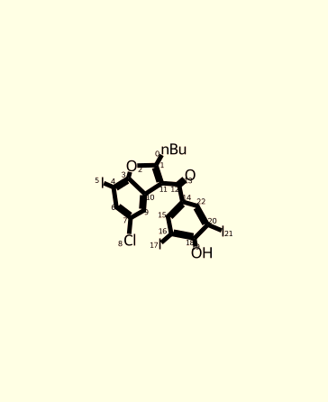 CCCCc1oc2c(I)cc(Cl)cc2c1C(=O)c1cc(I)c(O)c(I)c1